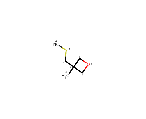 CC1(CSC#N)COC1